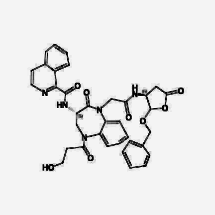 O=C(CN1C(=O)[C@@H](NC(=O)c2nccc3ccccc23)CN(C(=O)CCO)c2ccccc21)N[C@H]1CC(=O)OC1OCc1ccccc1